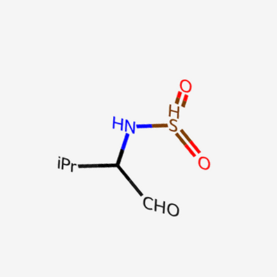 CC(C)C(C=O)N[SH](=O)=O